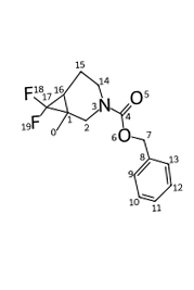 CC12CN(C(=O)OCc3ccccc3)CCC1C2(F)F